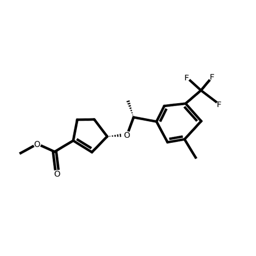 COC(=O)C1=C[C@@H](O[C@H](C)c2cc(C)cc(C(F)(F)F)c2)CC1